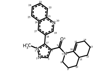 Cn1ncc(C(=O)N2CCCC3CCCC=C32)c1-c1cnc2ccccc2c1